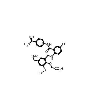 CC(=O)OCc1cc(CNc2ccc(Cl)cc2C(=O)Nc2ccc(C(=N)N)cc2)c(OCC(=O)O)c(OC(C)C)c1